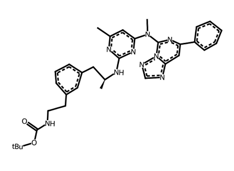 Cc1cc(N(C)c2nc(-c3ccccc3)cc3ncnn23)nc(N[C@@H](C)Cc2cccc(CCNC(=O)OC(C)(C)C)c2)n1